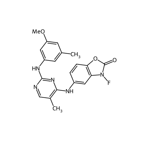 COc1cc(C)cc(Nc2ncc(C)c(Nc3ccc4oc(=O)n(F)c4c3)n2)c1